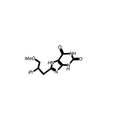 COCC(Cc1nc2[nH]c(=O)[nH]c(=O)c2[nH]1)C(C)C